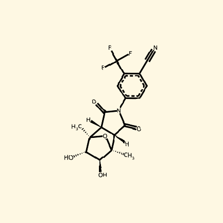 C[C@]12O[C@](C)([C@@H](O)[C@@H]1O)[C@H]1C(=O)N(c3ccc(C#N)c(C(F)(F)F)c3)C(=O)[C@H]12